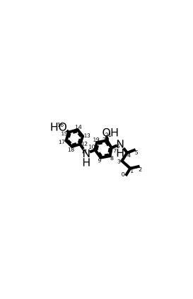 CC(C)CC(C)Nc1ccc(Nc2ccc(O)cc2)cc1O